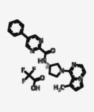 Cc1ccn2ccnc(N3CC[C@H](NC(=O)c4ncc(-c5ccccc5)cn4)C3)c12.O=C(O)C(F)(F)F